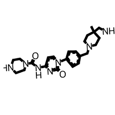 CC1(CN)CCN(Cc2ccc(-n3ccc(NC(=O)N4CCNCC4)nc3=O)cc2)CC1